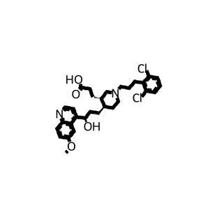 COc1ccc2nccc([C@H](O)CC[C@@H]3CCN(CCCc4c(Cl)cccc4Cl)C[C@H]3CCC(=O)O)c2c1